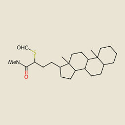 CNC(=O)C(CCC1CCC2C3CCC4CCCCC4(C)C3CCC12C)SC=O